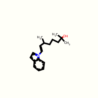 CC(/C=C/n1ccc2ccccc21)CCCC(C)(C)O